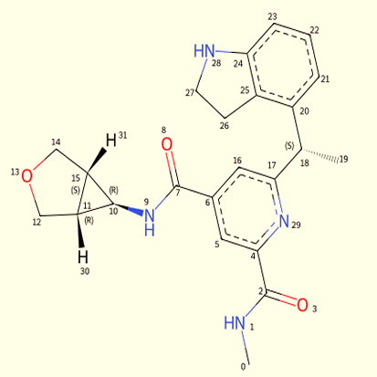 CNC(=O)c1cc(C(=O)N[C@H]2[C@@H]3COC[C@@H]32)cc([C@@H](C)c2cccc3c2CCN3)n1